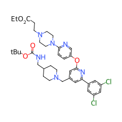 CCOC(=O)CCN1CCN(c2ccc(Oc3cc(CN4CCC(CNC(=O)OC(C)(C)C)CC4)cc(-c4cc(Cl)cc(Cl)c4)n3)cn2)CC1